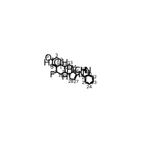 C[C@]12CCC(=O)C=C1[C@H](F)C[C@@H]1[C@@H]2CC[C@]2(C)C(n3cnc4ccccc43)=CC[C@@H]12